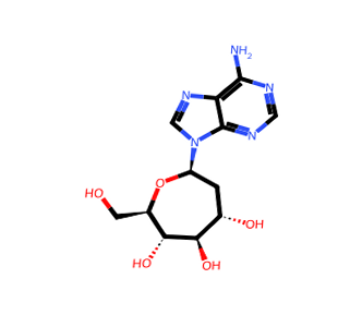 Nc1ncnc2c1ncn2[C@H]1C[C@H](O)[C@@H](O)[C@H](O)[C@@H](CO)O1